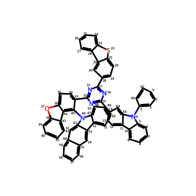 c1ccc(-n2c3ccccc3c3ccc(-c4nc(-c5ccc6sc7ccccc7c6c5)nc(-c5ccc6oc7ccccc7c6c5-n5c6ccccc6c6cc7ccccc7cc65)n4)cc32)cc1